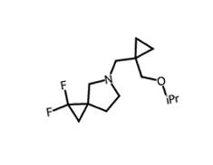 CC(C)OCC1(CN2CCC3(C2)CC3(F)F)CC1